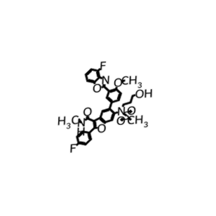 CNC(=O)c1c(-c2ccc(F)cc2)oc2cc(N(CCCO)S(C)(=O)=O)c(-c3ccc(OC)c(-c4nc5c(F)cccc5o4)c3)cc12